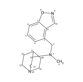 CN(Cc1cccc2oncc12)C1CN2CCC1CC2